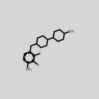 Cc1ccc(CC2CCC(C3CCC(C)CC3)CC2)c(F)c1F